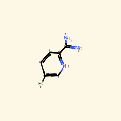 [CH2]Cc1ccc(C(=N)N)nc1